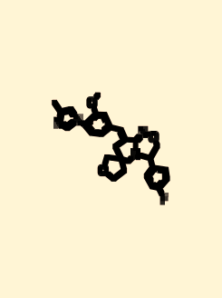 COc1cc(/C=C2\CC3(CCOC3)CN3C2=NOCC3c2ccc(F)cc2)ccc1-n1cnc(C)c1